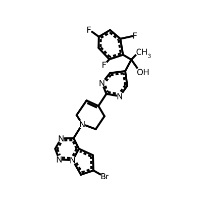 CC(O)(c1cnc(C2=CCN(c3ncnn4cc(Br)cc34)CC2)nc1)c1c(F)cc(F)cc1F